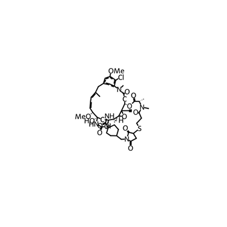 C#CC12O[C@H]1[C@H](C)[C@@H]1C[C@@](O)(NC(=O)O1)[C@H](OC)/C=C/C=C(\C)Cc1cc(OC)c(Cl)c(c1)N(C)C(=O)C[C@@H]2OC(=O)[C@H](C)N(C)C(=O)CCSC1CC(=O)N(CC2CCC(C(N)=O)CC2)C1=O